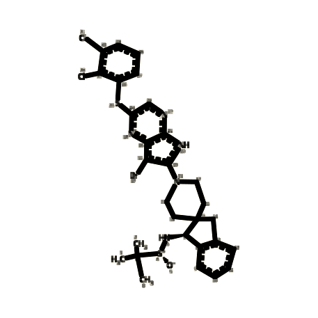 CC(C)(C)[S@@+]([O-])N[C@@H]1c2ccccc2CC12CCN(c1[nH]c3ncc(Sc4cccc(Cl)c4Cl)nc3c1Br)CC2